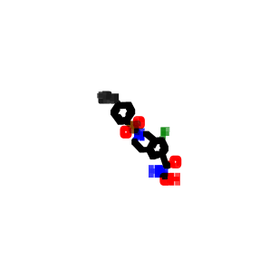 CC(C)(C)c1ccc(S(=O)(=O)N2CCc3cc(C(=O)NO)cc(F)c3C2)cc1